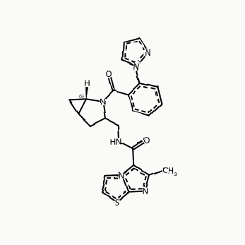 Cc1nc2sccn2c1C(=O)NCC1CC2C[C@@H]2N1C(=O)c1ccccc1-n1cccn1